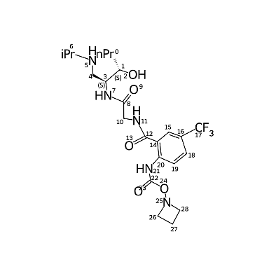 CCC[C@H](O)[C@H](CNC(C)C)NC(=O)CNC(=O)c1cc(C(F)(F)F)ccc1NC(=O)ON1CCC1